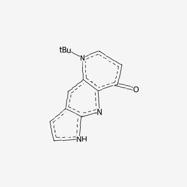 CC(C)(C)n1ccc(=O)c2nc3[nH]ccc3cc21